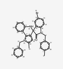 Cc1ccc(CN2C(=O)C3(Nc4ccccc4-c4c3cc(C)n4Cc3ccccc3)c3cc(Br)ccc32)cc1